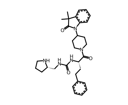 CC1(C)C(=O)N(C2CCN(C(=O)[C@H](CCc3ccccc3)NC(=O)NC[C@@H]3CCCN3)CC2)c2ccccc21